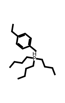 CCCC[PH](CCCC)(CCCC)Cc1ccc(CC)cc1